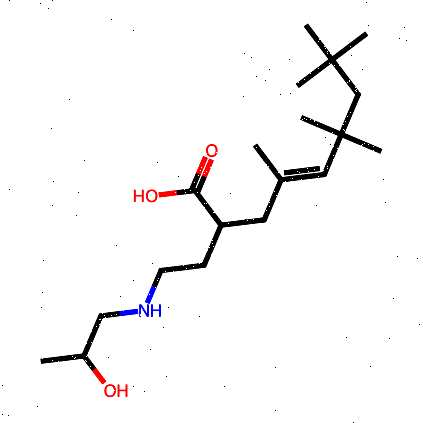 C/C(=C\C(C)(C)CC(C)(C)C)CC(CCNCC(C)O)C(=O)O